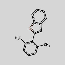 Cc1cccc(C)c1-c1cc2ccccc2s1